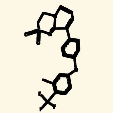 Cc1cc(Oc2ccc(C3=CC=CN4CCS(=O)(=O)N=C34)cc2)ccc1C(F)(F)F